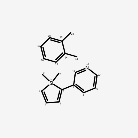 C[Si]1(C)C=CC=C1c1cccnc1.Cc1ccccc1C